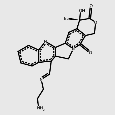 CC[C@@]1(O)C(=O)OCc2c1cc1n(c2=O)Cc2c-1nc1ccccc1c2C=NCCN